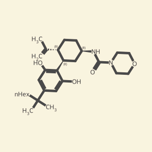 C=C(C)[C@@H]1CC[C@@H](NC(=O)N2CCOCC2)C[C@H]1c1c(O)cc(C(C)(C)CCCCCC)cc1O